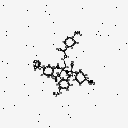 CC.Nc1ccc(C(=O)OCCC(OC(=O)c2ccc(N)cc2)(Oc2cc(N)ccc2S)Oc2cc(N)ccc2S)cc1